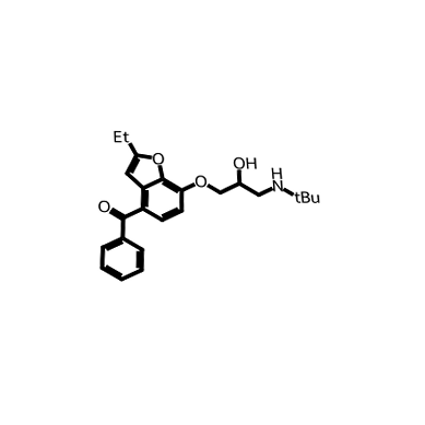 CCc1cc2c(C(=O)c3ccccc3)ccc(OCC(O)CNC(C)(C)C)c2o1